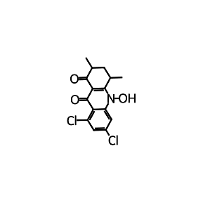 CC1CC(C)c2c(c(=O)c3c(Cl)cc(Cl)cc3n2O)C1=O